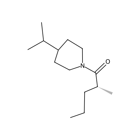 CCC[C@@H](C)C(=O)N1CCC(C(C)C)CC1